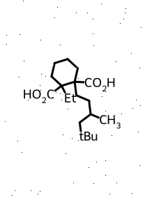 CCC1(C(=O)O)CCCCC1(CCC(C)CC(C)(C)C)C(=O)O